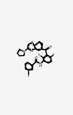 O=C(Nc1ccc(F)c(C(=O)c2ccc3ncc(N4CCCC4)nc3c2)c1F)c1cccc(F)c1